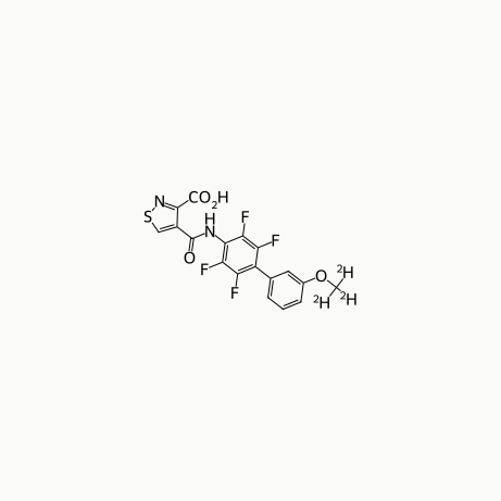 [2H]C([2H])([2H])Oc1cccc(-c2c(F)c(F)c(NC(=O)c3csnc3C(=O)O)c(F)c2F)c1